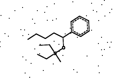 CCCCC(O[Si](C)(CC)CC)c1ccccc1